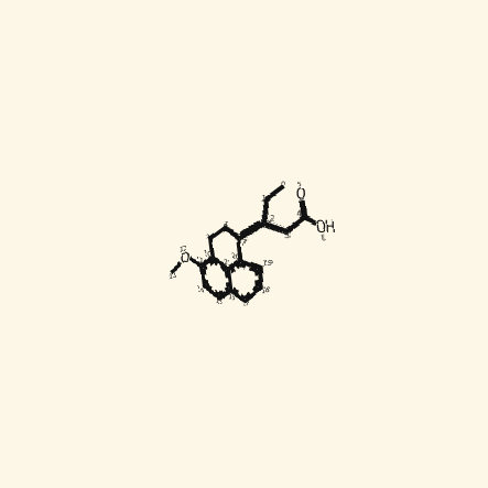 CCC(CC(=O)O)=C1CCc2c(OC)ccc3cccc1c23